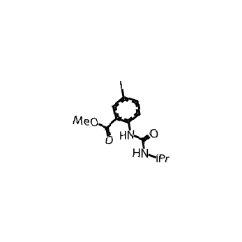 COC(=O)c1cc(I)ccc1NC(=O)NC(C)C